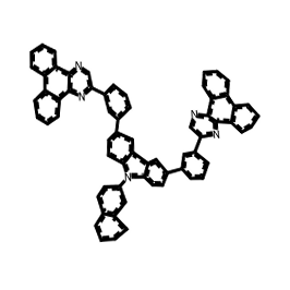 c1cc(-c2ccc3c(c2)c2cc(-c4cccc(-c5cnc6c7ccccc7c7ccccc7c6n5)c4)ccc2n3-c2ccc3ccccc3c2)cc(-c2cnc3c4ccccc4c4ccccc4c3n2)c1